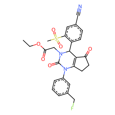 CCOC(=O)CN1C(=O)N(c2cccc(CF)c2)C2=C(C(=O)CC2)C1c1ccc(C#N)cc1S(C)(=O)=O